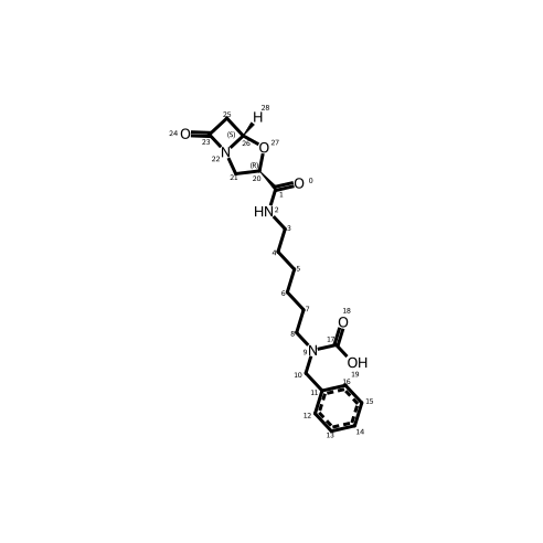 O=C(NCCCCCCN(Cc1ccccc1)C(=O)O)[C@H]1CN2C(=O)C[C@@H]2O1